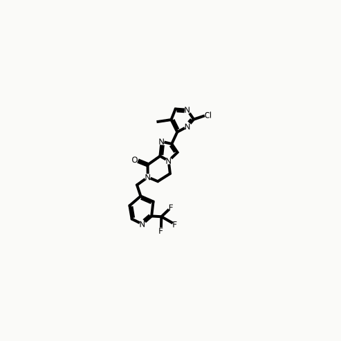 Cc1cnc(Cl)nc1-c1cn2c(n1)C(=O)N(Cc1ccnc(C(F)(F)F)c1)CC2